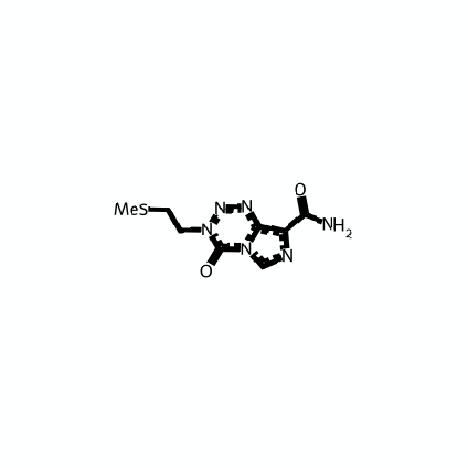 CSCCn1nnc2c(C(N)=O)ncn2c1=O